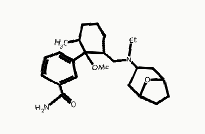 CCN(CC1CCCC(C)C1(OC)c1cccc(C(N)=O)c1)C1CC2CCC(C1)O2